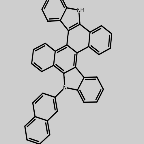 c1ccc2cc(-n3c4ccccc4c4c5c6ccccc6c6[nH]c7ccccc7c6c5c5ccccc5c43)ccc2c1